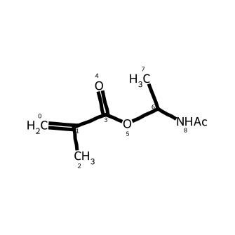 C=C(C)C(=O)OC(C)NC(C)=O